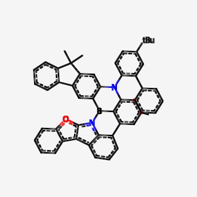 Cc1cc2c3c(c1)N(c1ccc(C(C)(C)C)cc1-c1ccccc1)c1cc4c(cc1B3n1c3oc5ccccc5c3c3cccc-2c31)-c1ccccc1C4(C)C